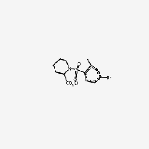 CCOC(=O)C1CCCCN1S(=O)(=O)c1ccc(Br)cc1C